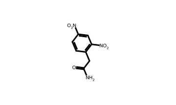 NC(=O)Cc1ccc([N+](=O)[O-])cc1[N+](=O)[O-]